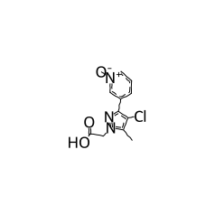 Cc1c(Cl)c(-c2ccc[n+]([O-])c2)nn1CC(=O)O